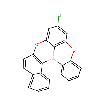 Clc1cc2c3c(c1)Oc1ccc4ccccc4c1B3c1ccccc1O2